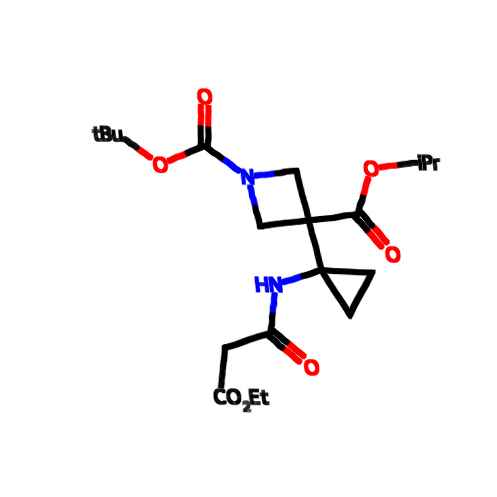 CCOC(=O)CC(=O)NC1(C2(C(=O)OC(C)C)CN(C(=O)OC(C)(C)C)C2)CC1